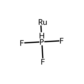 F[PH](F)(F)[Ru]